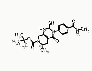 CNC(=O)c1ccc(N2C(=O)C3=C(CN(C(=O)OC(C)(C)C)[C@H](C)C3)NC2S)cc1